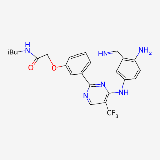 CCC(C)NC(=O)COc1cccc(-c2ncc(C(F)(F)F)c(Nc3ccc(N)c(C=N)c3)n2)c1